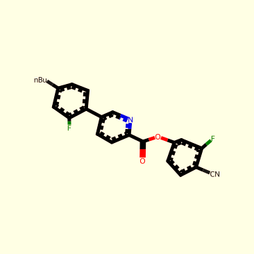 CCCCc1ccc(-c2ccc(C(=O)Oc3ccc(C#N)c(F)c3)nc2)c(F)c1